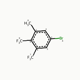 Cc1cc(Br)cc(C(F)(F)F)c1C(F)(F)F